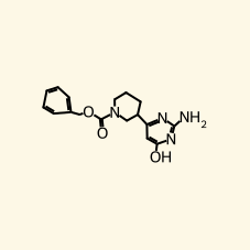 Nc1nc(O)cc(C2CCCN(C(=O)OCc3ccccc3)C2)n1